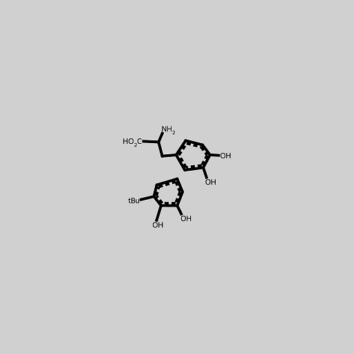 CC(C)(C)c1cccc(O)c1O.NC(Cc1ccc(O)c(O)c1)C(=O)O